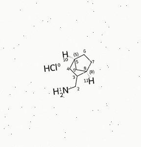 Cl.NCC1C[C@H]2CC[C@@H]1C2